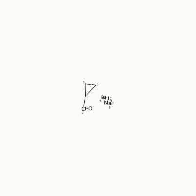 O=CC1CC1.[BH4-].[Na+]